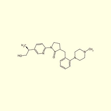 C[C@H](CO)c1ccc(N2CCC(Cc3ccccc3N3CCN(C)CC3)C2=O)nc1